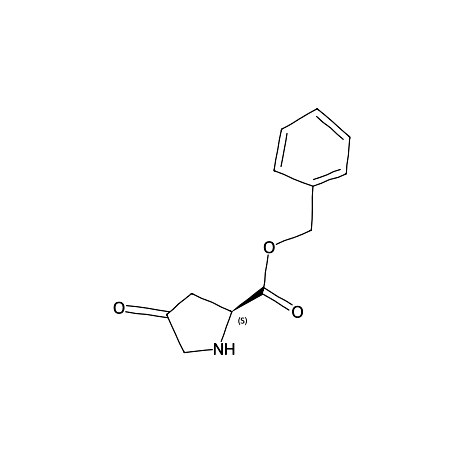 O=C1CN[C@H](C(=O)OCc2ccccc2)C1